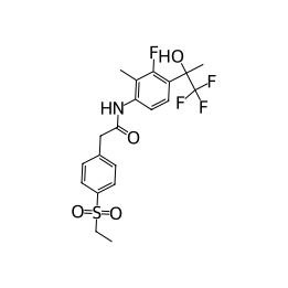 CCS(=O)(=O)c1ccc(CC(=O)Nc2ccc(C(C)(O)C(F)(F)F)c(F)c2C)cc1